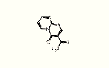 NC(=O)c1cnc2ncccn2c1=O